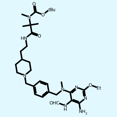 CCOc1nc(N)c(NC=O)c(N(C)Cc2ccc(CN3CCC(CCNC(=O)C(C)(C)N(C)C(=O)OC(C)(C)C)CC3)cc2)n1